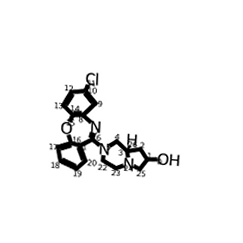 OC1C[C@H]2CN(C3=Nc4cc(Cl)ccc4Oc4ccccc43)CCN2C1